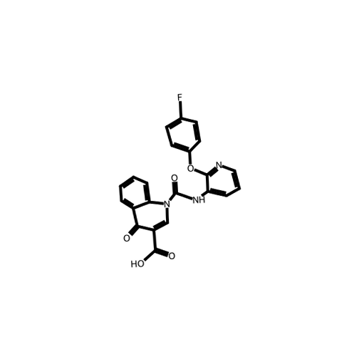 O=C(O)c1cn(C(=O)Nc2cccnc2Oc2ccc(F)cc2)c2ccccc2c1=O